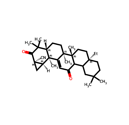 CC[C@]12CCC(C)(C)CC1C1C(=O)C=C3[C@@]4(C)[C@H]5C[C@@]5(C#N)C(=O)C(C)(C)[C@@H]4CC[C@@]3(C)[C@]1(C)CC2